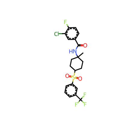 CC1(NC(=O)c2ccc(F)c(Cl)c2)CCC(S(=O)(=O)c2cccc(C(F)(F)F)c2)CC1